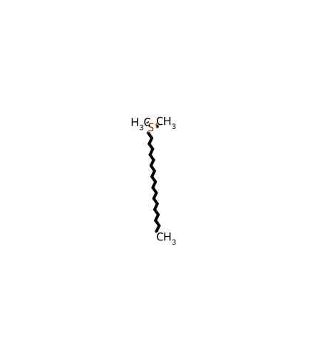 CCCCCCCCCCCCCCCCCCCC[S+](C)CC